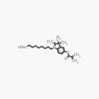 C=C(C)C(=O)Oc1ccc2c(c1)C(C)(C)C(=C)N2CCCCCCCCCCCCCCCCCC